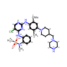 COc1cc(N2CCC(CN3CCNCC3)CC2)c(C)cc1Nc1ncc(Cl)c(Nc2ccccc2N(C)S(C)(=O)=O)n1